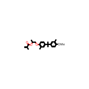 C=C(C)C(=O)OC(C)COc1ccc(C(C)(C)c2ccc(OC)c(C)c2)cc1C